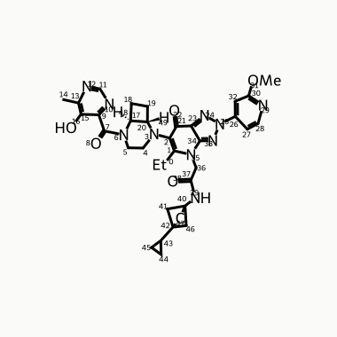 CCc1c(N2CCN(C(=O)c3ncnc(C)c3O)[C@H]3CC[C@@H]32)c(=O)c2nn(-c3ccnc(OC)c3)nc2n1CC(=O)NC12CC(C3CC3)(C1)C2